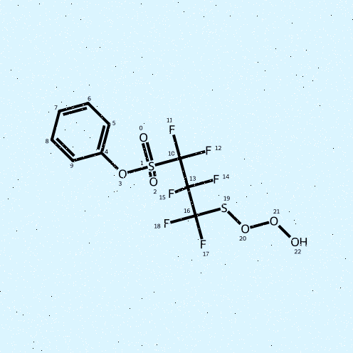 O=S(=O)(Oc1ccccc1)C(F)(F)C(F)(F)C(F)(F)SOOO